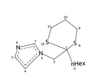 CCCCCCC1(Cn2ccnc2)SCCCS1